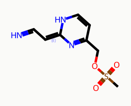 CS(=O)(=O)OCC1=N/C(=C/C=N)NC=C1